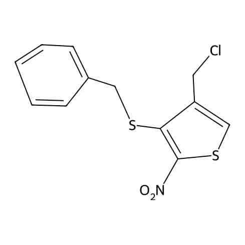 O=[N+]([O-])c1scc(CCl)c1SCc1ccccc1